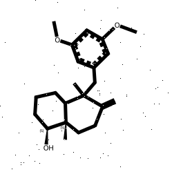 C=C1CC[C@@]2(C)C(CCC[C@@H]2O)C1(C)Cc1cc(OC)cc(OC)c1